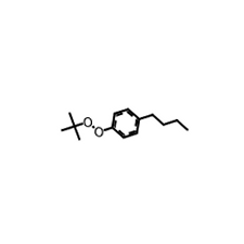 CCCCc1ccc(OOC(C)(C)C)cc1